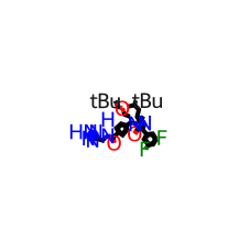 CC(CCC1(C)N=C(c2cc(F)cc(F)c2)C(=O)N1[C@H](CCOCC(C)(C)C)c1ccc(C(=O)NCc2nn[nH]n2)cc1)C(C)(C)C